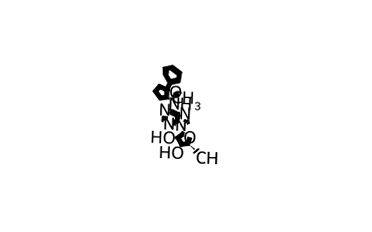 C#C[C@H]1O[C@@H](n2cnc3c(N[C@@H]4CCC[C@]4(OC)c4ccccc4)ncnc32)[C@H](O)[C@@H]1O